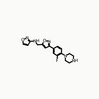 Fc1cc(-c2cc(CNc3ccon3)on2)ccc1N1CCNCC1